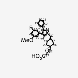 COc1cc(F)cc(-c2c(-c3ccccc3)nn(CC3CCC(COCC(=O)O)CC3)c2C)c1